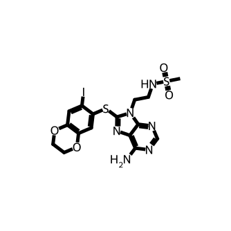 CS(=O)(=O)NCCn1c(Sc2cc3c(cc2I)OCCO3)nc2c(N)ncnc21